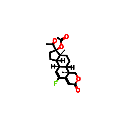 CC(=O)O[C@]1(C(C)=O)CC[C@H]2[C@@H]3C=C(F)C4=CC(=O)OC[C@]4(C)[C@H]3CC[C@@]21C